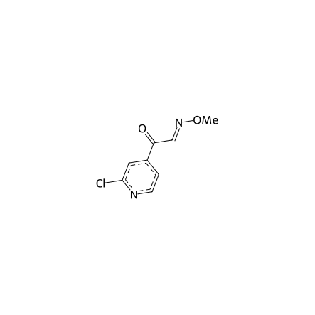 CON=CC(=O)c1ccnc(Cl)c1